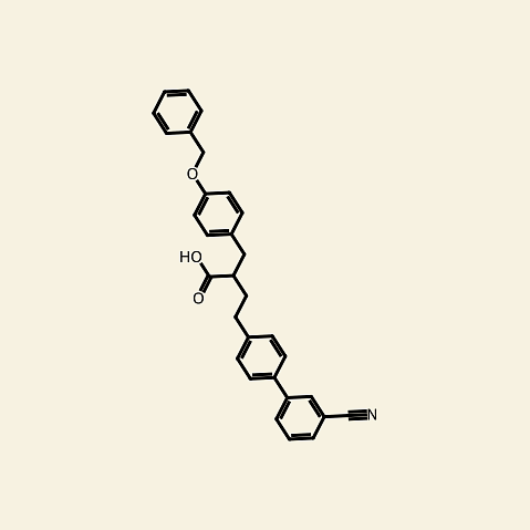 N#Cc1cccc(-c2ccc(CCC(Cc3ccc(OCc4ccccc4)cc3)C(=O)O)cc2)c1